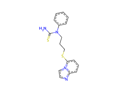 NC(=S)N(CCCSc1cccc2nccn12)c1ccccc1